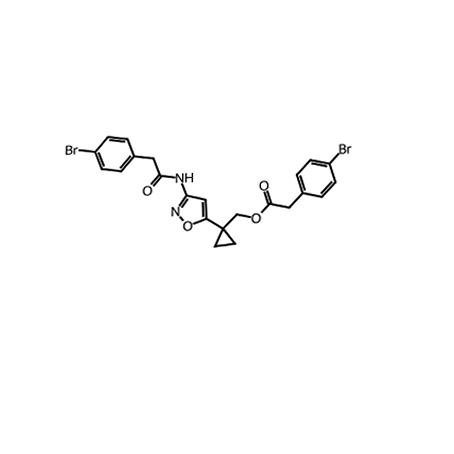 O=C(Cc1ccc(Br)cc1)Nc1cc(C2(COC(=O)Cc3ccc(Br)cc3)CC2)on1